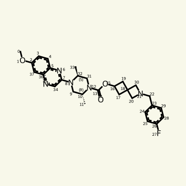 COc1ccc2nc(N3C[C@@H](C)N(C(=O)OC4CC5(C4)CN(Cc4ccc(F)cc4)C5)C[C@@H]3C)cnc2c1